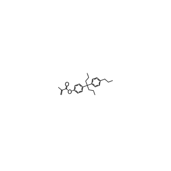 C=C(C)C(=O)Oc1ccc(C(CCC)(CCC)c2ccc(CCC)cc2)cc1